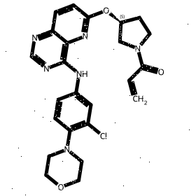 C=CC(=O)N1CC[C@H](Oc2ccc3ncnc(Nc4ccc(N5CCOCC5)c(Cl)c4)c3n2)C1